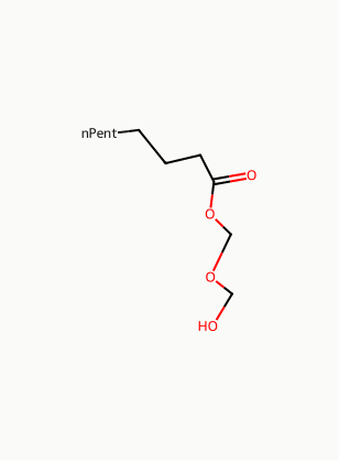 CCCCCCCCC(=O)OCOCO